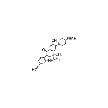 C#Cc1ccc2c3c([nH]c2c1)C(C)(C)c1cc(N2CCC(NC)CC2)c(C#N)cc1C3=O